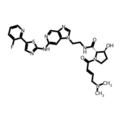 CN(C)C/C=C/C(=O)N1CC[C@H](O)[C@H]1C(=O)NCCn1cnc2cnc(Nc3ncc(-c4ncccc4F)s3)cc21